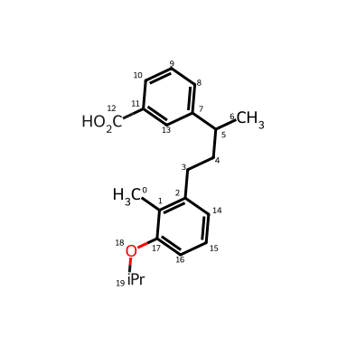 Cc1c(CCC(C)c2cccc(C(=O)O)c2)cccc1OC(C)C